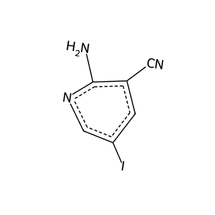 N#Cc1cc(I)cnc1N